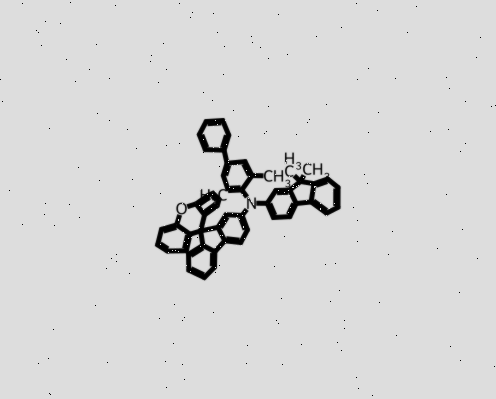 Cc1cc(-c2ccccc2)cc(C)c1N(c1ccc2c(c1)C(C)(C)c1ccccc1-2)c1ccc2c(c1)C1(c3ccccc3Oc3ccccc31)c1ccccc1-2